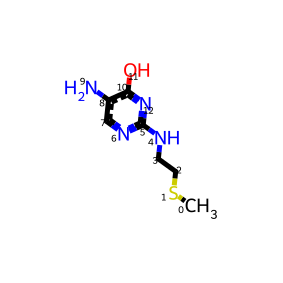 CSCCNc1ncc(N)c(O)n1